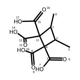 CC1C(C)C(C(=O)O)(C(=O)O)C1(C(=O)O)C(=O)O